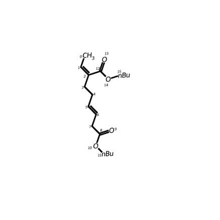 CC=C(CCC=CCC(=O)OCCCC)C(=O)OCCCC